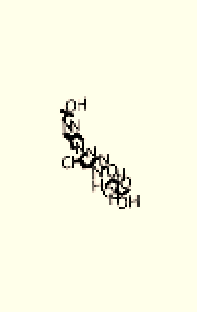 CC(C)(O)Cn1cc2c(n1)CN(c1nc3nc(OC4CO[C@@H]5C(O)CO[C@H]45)[nH]c3cc1Cl)C2